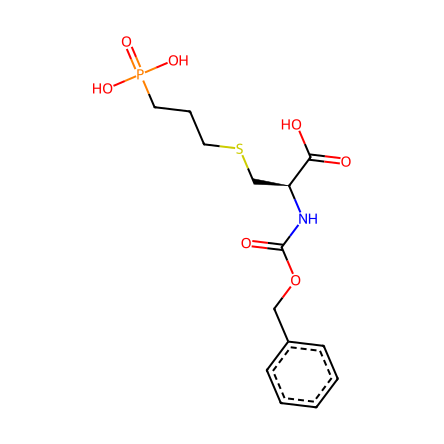 O=C(N[C@@H](CSCCCP(=O)(O)O)C(=O)O)OCc1ccccc1